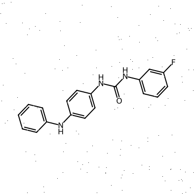 O=C(Nc1ccc(Nc2ccccc2)cc1)Nc1cccc(F)c1